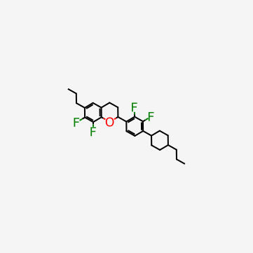 CCCc1cc2c(c(F)c1F)OC(c1ccc(C3CCC(CCC)CC3)c(F)c1F)CC2